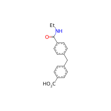 CCNC(=O)c1ccc(Cc2ccc(C(=O)O)cc2)cc1